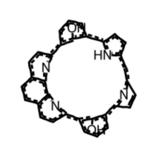 Oc1c2cccc1c1ccc3ccc4ccc(nc4c3n1)c1cccc(c1O)c1ccc(cc3nc2C=C3)[nH]1